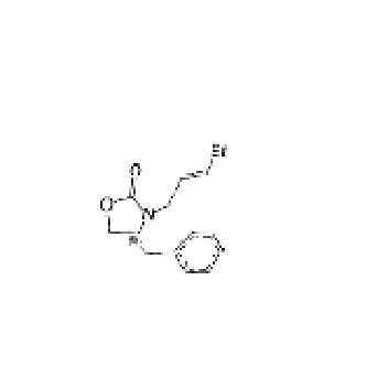 CCC=CCN1C(=O)OC[C@H]1Cc1ccccc1